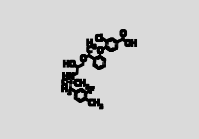 Cc1ccc(CC(C)(C)NC[C@@H](O)COC(C)c2ccccc2Oc2ccc(C(=O)O)cc2Cl)cc1F